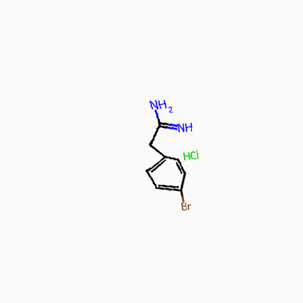 Cl.N=C(N)Cc1ccc(Br)cc1